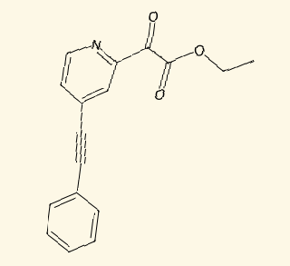 CCOC(=O)C(=O)c1cc(C#Cc2ccccc2)ccn1